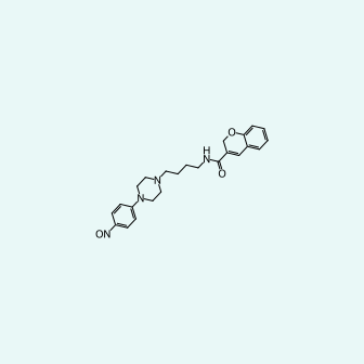 O=Nc1ccc(N2CCN(CCCCNC(=O)C3=Cc4ccccc4OC3)CC2)cc1